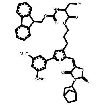 COc1cc(OC)cc(-c2cc(CCCOC(=O)C(CC(C)C)NC(=O)OCC3c4ccccc4-c4ccccc43)c(C=C3SC(=S)N(C4CC5CCC4C5)C3=O)o2)c1